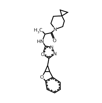 CC(Nc1nnc(C2C3Oc4ccccc4C32)o1)C(=O)N1CCC2(CC1)CC2